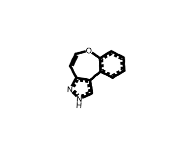 C1=Cc2n[nH]cc2-c2ccccc2O1